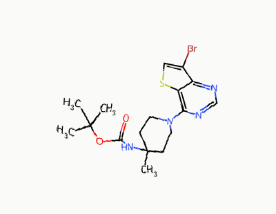 CC1(NC(=O)OC(C)(C)C)CCN(c2ncnc3c(Br)csc23)CC1